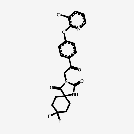 O=C(CN1C(=O)NC2(CCC(F)(F)CC2)C1=O)c1ccc(Oc2ncccc2Cl)cc1